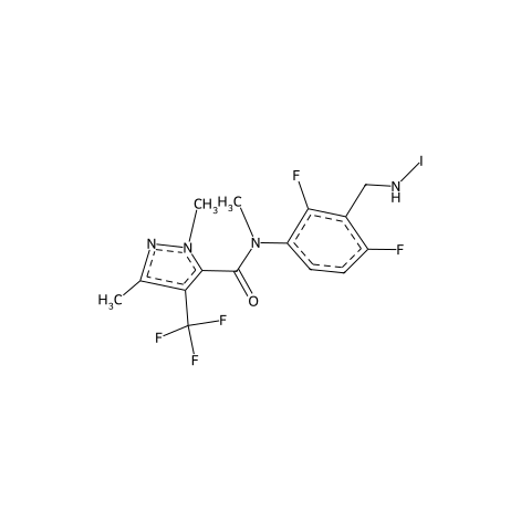 Cc1nn(C)c(C(=O)N(C)c2ccc(F)c(CNI)c2F)c1C(F)(F)F